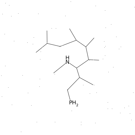 CNC(C(C)CP)C(C)C(C)C(C)CC(C)C